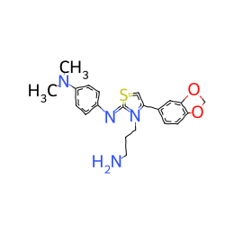 CN(C)c1ccc(/N=c2\scc(-c3ccc4c(c3)OCO4)n2CCCN)cc1